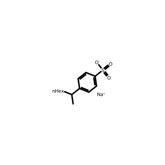 CCCCCCC(C)c1ccc(S(=O)(=O)[O-])cc1.[Na+]